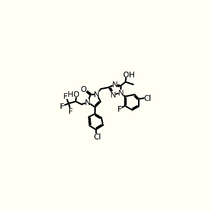 CC(O)c1nc(Cn2cc(-c3ccc(Cl)cc3)n(CC(O)C(F)(F)F)c2=O)nn1-c1cc(Cl)ccc1F